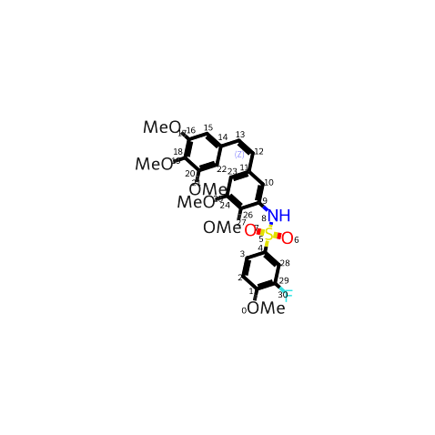 COc1ccc(S(=O)(=O)Nc2cc(/C=C\c3cc(OC)c(OC)c(OC)c3)cc(OC)c2OC)cc1F